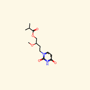 COC(CCn1ccc(=O)[nH]c1=O)COC(=O)C(C)C